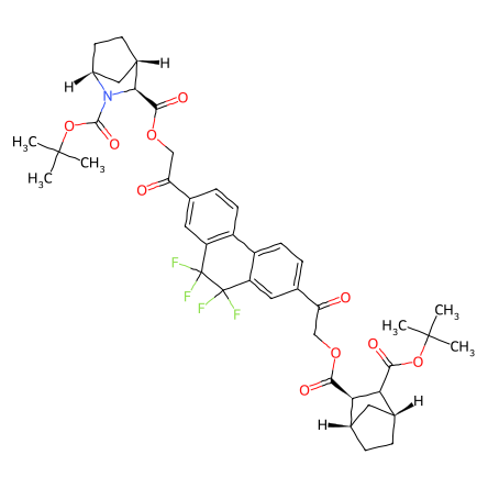 CC(C)(C)OC(=O)C1[C@@H]2CC[C@@H](C2)[C@H]1C(=O)OCC(=O)c1ccc2c(c1)C(F)(F)C(F)(F)c1cc(C(=O)COC(=O)[C@@H]3[C@H]4CC[C@H](C4)N3C(=O)OC(C)(C)C)ccc1-2